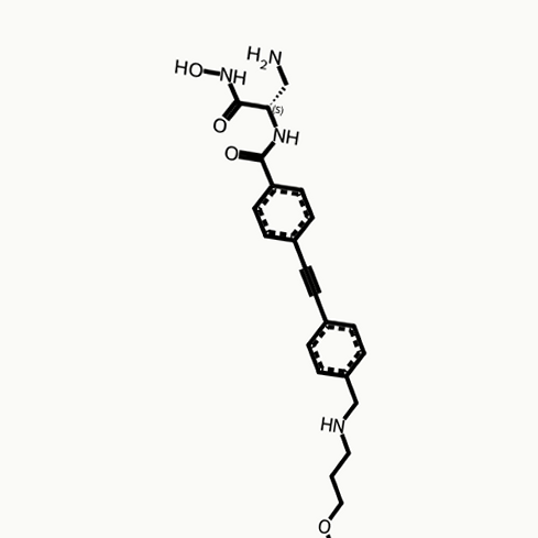 COCCCNCc1ccc(C#Cc2ccc(C(=O)N[C@@H](CN)C(=O)NO)cc2)cc1